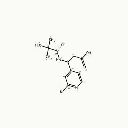 CC(C)(C)[S@+]([O-])NC(CC(=O)O)c1ccnc(Br)c1